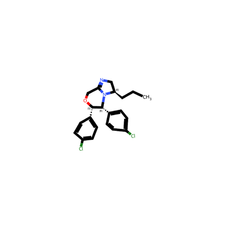 CCC[C@@H]1CN=C2CO[C@@H](c3ccc(Cl)cc3)[C@@H](c3ccc(Cl)cc3)N21